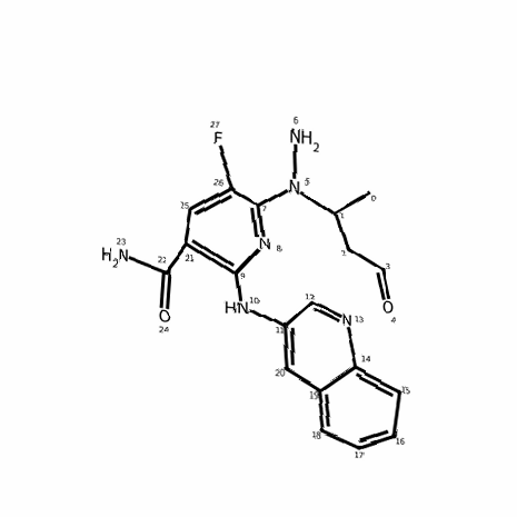 CC(CC=O)N(N)c1nc(Nc2cnc3ccccc3c2)c(C(N)=O)cc1F